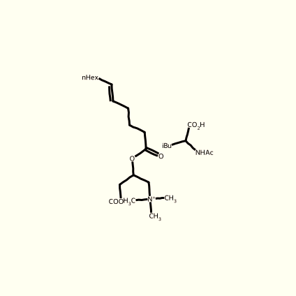 CCC(C)C(NC(C)=O)C(=O)O.CCCCCCC=CCCCC(=O)OC(CC(=O)[O-])C[N+](C)(C)C